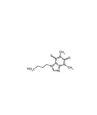 Cn1c(=S)c2c(ncn2CCCC(=O)O)n(C)c1=O